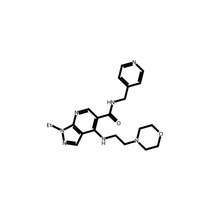 CCn1ncc2c(NCCN3CCOCC3)c(C(=O)NCc3ccncc3)cnc21